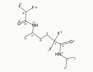 CC(C)NC(=O)C(F)(F)CCC(C)NC(=O)C(F)F